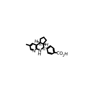 Cc1cnc2c(c1)[C@@H]1CCC[C@@H]1[C@H](c1ccc(C(=O)O)cc1)N2